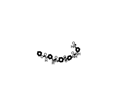 O=CNc1cccc(NC(=O)Nc2ccc(S(=O)(=O)c3ccc(NC(=O)Nc4cccc(NC(=O)Oc5ccccc5)c4)cc3)cc2)c1